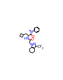 CN(C(=O)C(CC1CCC1)NC(=O)Cn1nc(C(F)(F)F)c2c1CCCC2)c1ccccc1